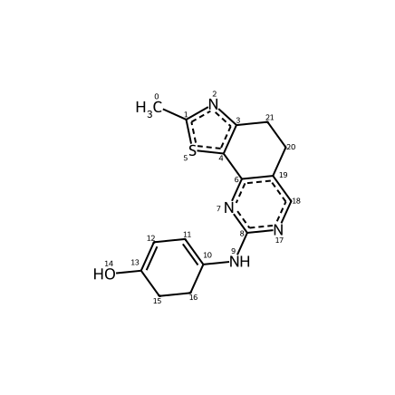 Cc1nc2c(s1)-c1nc(NC3=CC=C(O)CC3)ncc1CC2